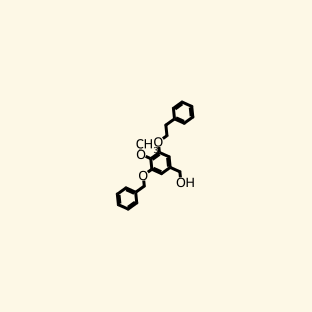 COc1c(OCCc2ccccc2)cc(CO)cc1OCc1ccccc1